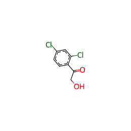 O=C(CO)c1ccc(Cl)cc1Cl